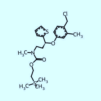 Cc1cc(O[C@@H](CCN(C)C(=O)OCCS(C)(C)C)c2cccs2)ccc1CCl